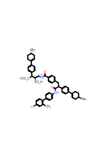 CCOC(=O)C(c1ccc(C2=CC[C@@H](C(C)(C)C)CC2)cc1)[C@@H](CNC(=O)c1ccc(CC(C(=O)Nc2ccc(-c3ccc(Cl)cc3C)cc2)c2ccc(C3=CCC(C(C)(C)C)CC3)cc2)cc1)S(=O)(=O)O